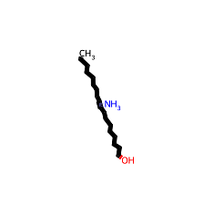 CCCCCCCC/C=C/CCCCCCCCO.N